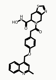 Cc1cc(COc2ccc(CC(=O)N3Cc4ncsc4CC3C(=O)NO)cc2)c2ccccc2n1